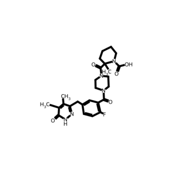 Cc1c(Cc2ccc(F)c(C(=O)N3CCN(C(=O)C4(C)CCCCN4C(=O)O)CC3)c2)n[nH]c(=O)c1C